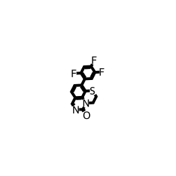 O=c1ncc2ccc(-c3cc(F)c(F)cc3F)c3c2n1CCS3